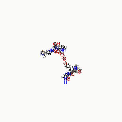 CCN(c1cc(-c2ccc(OCCOCCOCC(=O)N[C@H](C(=O)N3C[C@H](O)C[C@H]3C(=O)NCc3ccc(-c4scnc4C)cc3)C(C)(C)C)cc2)cc(C(=O)NCc2c(C)cc(C)[nH]c2=O)c1C)C1CCOCC1